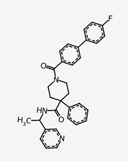 CC(NC(=O)C1(c2ccccc2)CCN(C(=O)c2ccc(-c3ccc(F)cc3)cc2)CC1)c1cccnc1